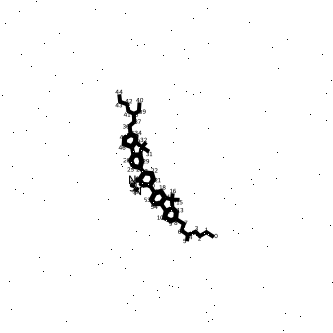 CCCCC(C)CCc1ccc2c(c1)C(C)(C)c1cc(-c3ccc(-c4ccc5c(c4)C(C)(C)c4cc(CCC(CC)CCCC)ccc4-5)c4nsnc34)ccc1-2